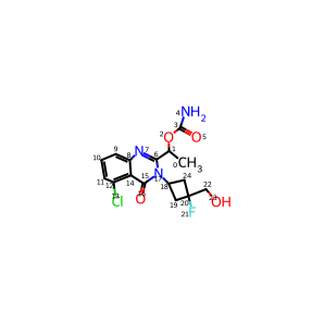 CC(OC(N)=O)c1nc2cccc(Cl)c2c(=O)n1C1CC(F)(CO)C1